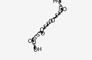 O=C(CSCSCCOOCSCSCOC(=O)CSCSCC(=O)OCSCO)OCSCO